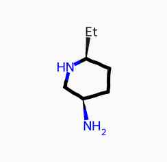 CC[C@H]1CC[C@@H](N)CN1